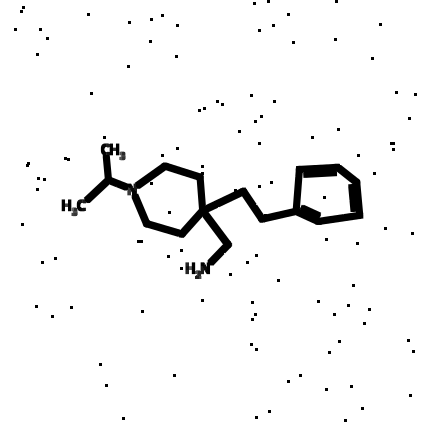 CC(C)N1CCC(CN)(CCc2ccccc2)CC1